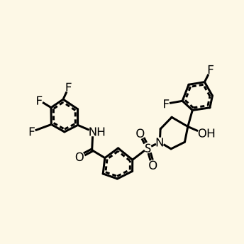 O=C(Nc1cc(F)c(F)c(F)c1)c1cccc(S(=O)(=O)N2CCC(O)(c3ccc(F)cc3F)CC2)c1